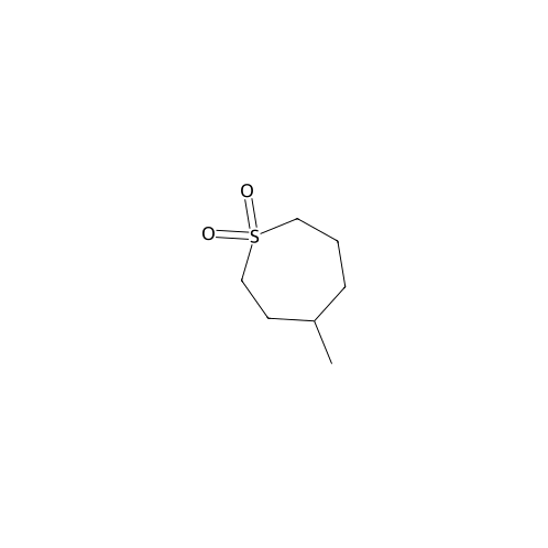 CC1CCCS(=O)(=O)CC1